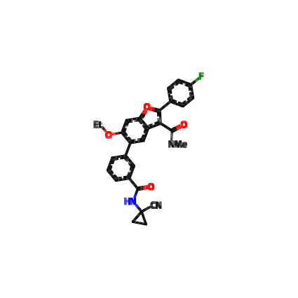 CCOc1cc2oc(-c3ccc(F)cc3)c(C(=O)NC)c2cc1-c1cccc(C(=O)NC2(C#N)CC2)c1